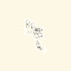 COc1cc(NC(=O)c2ccccc2C)ccc1C(=O)N1CCCC(CCN2CCC(C)(C)CC2)c2cc(Cl)ccc21.Cl.Cl